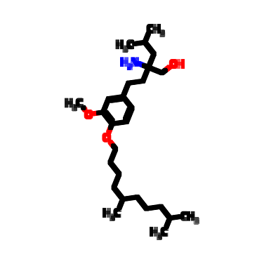 COc1cc(CCC(N)(CO)CC(C)C)ccc1OCCCCC(C)CCCC(C)C